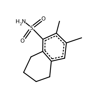 Cc1cc2c(c(S(N)(=O)=O)c1C)CCCC2